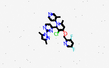 CC1=CC(OCc2ncc(F)cc2F)=C(Cl)C(c2ccnc(-n3nc(C)cc3C)n2)N1c1ccncc1C